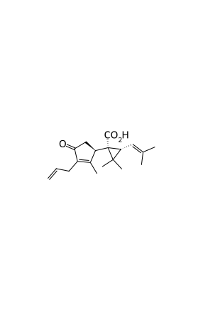 C=CCC1=C(C)[C@H]([C@@]2(C(=O)O)[C@H](C=C(C)C)C2(C)C)CC1=O